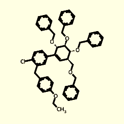 CCOc1ccc(Cc2cc(C3=C[C@H](COCc4ccccc4)[C@@H](OCc4ccccc4)[C@H](OCc4ccccc4)[C@H]3OCc3ccccc3)ccc2Cl)cc1